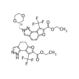 CCOC(=O)c1oc2c(c1C(F)(F)F)-c1[nH]ncc1CC2.CCOC(=O)c1oc2ccc3cn(C[C@H]4COCCO4)nc3c2c1C(F)(F)F